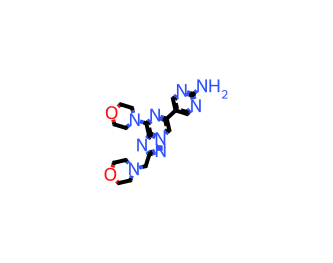 Nc1ncc(-c2cn3nc(CN4CCOCC4)nc3c(N3CCOCC3)n2)cn1